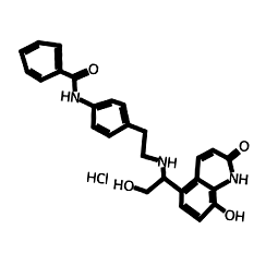 Cl.O=C(Nc1ccc(CCNC(CO)c2ccc(O)c3[nH]c(=O)ccc23)cc1)c1ccccc1